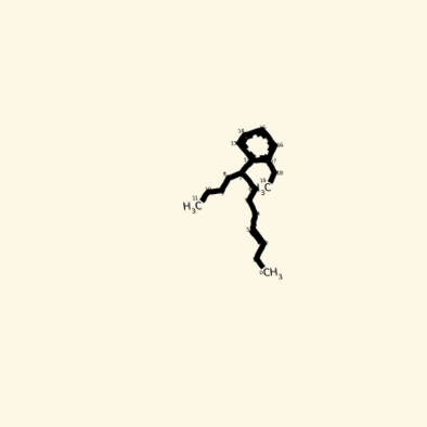 CCC=CCCCC(CCCC)c1ccccc1CC